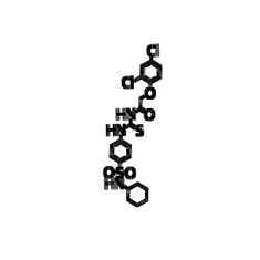 O=C(COc1ccc(Cl)cc1Cl)NC(=S)Nc1ccc(S(=O)(=O)NC2CCCCC2)cc1